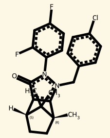 CC1(C)[C@@H]2CC[C@@]1(C)c1c2c(=O)n(-c2ccc(F)cc2F)n1Cc1ccc(Cl)cc1